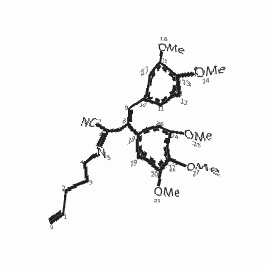 C=CCCCN=C(C#N)/C(=C/c1ccc(OC)c(OC)c1)c1cc(OC)c(OC)c(OC)c1